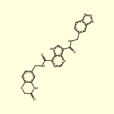 O=C1COc2ccc(CNC(=O)c3ncnc4c(C(=O)NCc5ccc6nsnc6c5)c[nH]c34)cc2N1